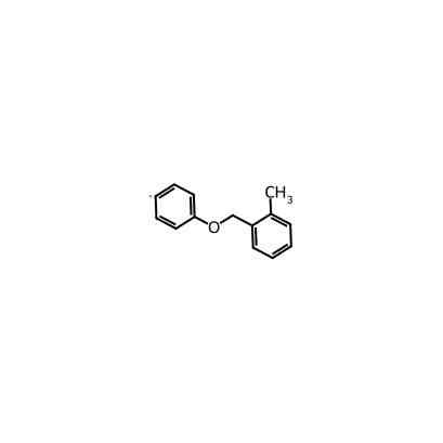 Cc1ccccc1COc1cc[c]cc1